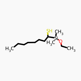 CCCCCCCC(S)[Si](C)(C)OCC